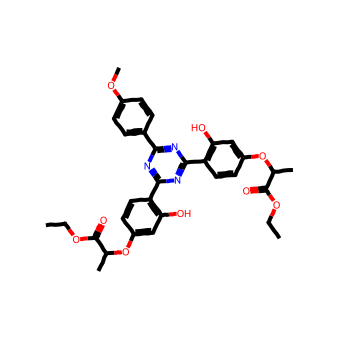 CCOC(=O)C(C)Oc1ccc(-c2nc(-c3ccc(OC)cc3)nc(-c3ccc(OC(C)C(=O)OCC)cc3O)n2)c(O)c1